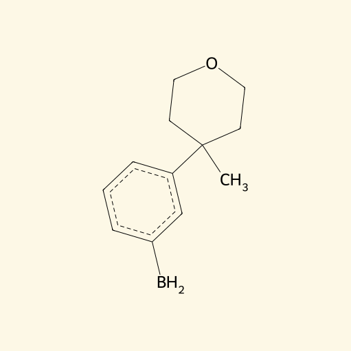 Bc1cccc(C2(C)CCOCC2)c1